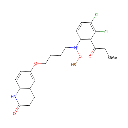 COCC(=O)c1c([N+](=CCCCOc2ccc3c(c2)CCC(=O)N3)OS)ccc(Cl)c1Cl